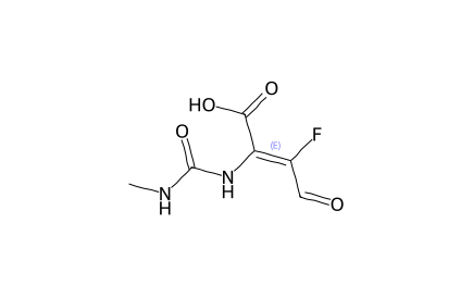 CNC(=O)N/C(C(=O)O)=C(/F)C=O